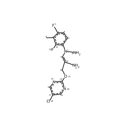 Cc1c(F)ccc(N(N)/C=C(\N)COc2ncc(Cl)cn2)c1F